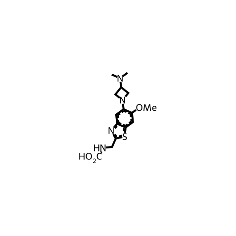 COc1cc2sc(CNC(=O)O)nc2cc1N1CC(N(C)C)C1